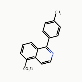 CCOC(=O)c1cccc2c(-c3ccc(C)cc3)nccc12